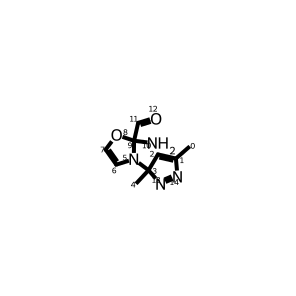 CC1=CC(C)(N2C=COC2(N)C=O)N=N1